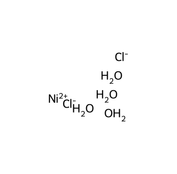 O.O.O.O.[Cl-].[Cl-].[Ni+2]